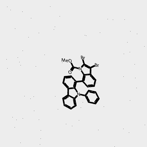 COC(=O)n1c(Br)c(Br)c2cccc(-c3cccc4c5ccccc5n(-c5ccccc5)c34)c21